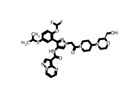 CC(C)Sc1ccc(OC(F)F)c(-c2nn(CC(=O)N3CCC(N4CCO[C@H](CO)C4)CC3)cc2NC(=O)c2cnn3cccnc23)c1